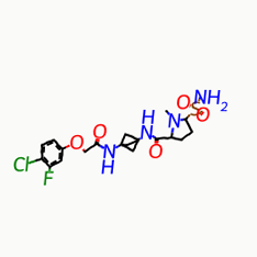 CN1C(C(=O)NC23CC(NC(=O)COc4ccc(Cl)c(F)c4)(C2)C3)CCC1S(N)(=O)=O